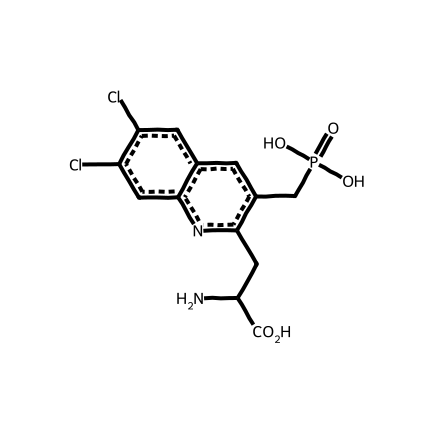 NC(Cc1nc2cc(Cl)c(Cl)cc2cc1CP(=O)(O)O)C(=O)O